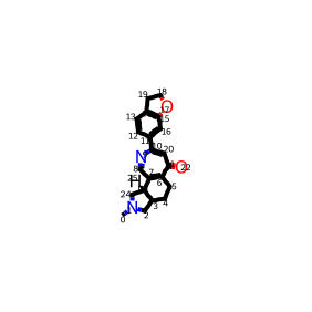 CN1CC2CCc3c(cnc(-c4ccc5c(c4)OCC5)cc3=O)[C@H]2C1